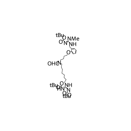 CNC(=NC(=O)OC(C)(C)C)NCc1ccccc1OCCCCN(C=O)CCCCCCCCNC(=NC(=O)OC(C)(C)C)NC(=O)OC(C)(C)C